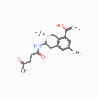 C=C(O)c1cc(C)cc2c1CB(C)C(NC(=O)CCC(C)=O)C2